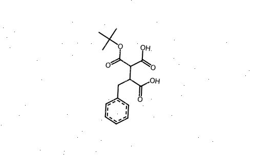 CC(C)(C)OC(=O)C(C(=O)O)C(Cc1ccccc1)C(=O)O